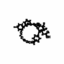 Cc1ccc2c(c1)OCCOCCOC1(C)CCN(CC1)c1c(CC(=O)O)c(C)c(C)c3nc(cn13)-c1cccc-2c1